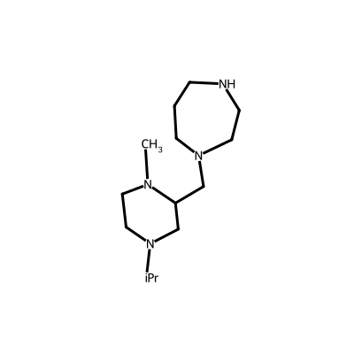 CC(C)N1CCN(C)C(CN2CCCNCC2)C1